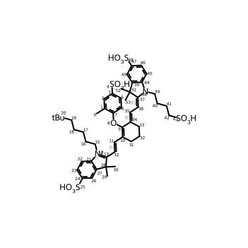 Cc1cc(S(=O)(=O)O)ccc1OC1=C(/C=C/C2=[N+](CCCCCC(C)(C)C)c3ccc(S(=O)(=O)O)cc3C2(C)C)CCC/C1=C\C=C1\N(CCCCS(=O)(=O)O)c2ccc(S(=O)(=O)O)cc2C1(C)C